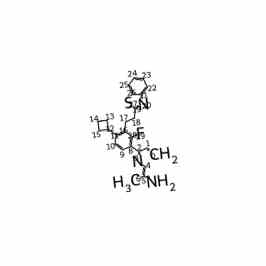 C=C/C(=N\C=C(/C)N)c1ccc(C2CCC2)c(CCc2nc3ccccc3s2)c1F